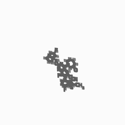 Cc1sc2c(F)ccc(-c3c(Cl)cc4c(N5CCCCC(=O)C5)nc(OC[C@@]56CCCN5C[C@H](F)C6)nc4c3F)c2c1C#N